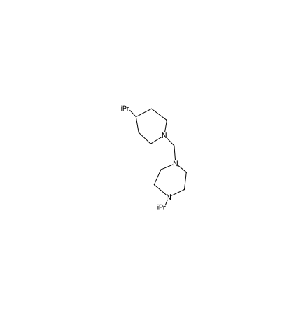 CC(C)C1CCN(CN2CCN(C(C)C)CC2)CC1